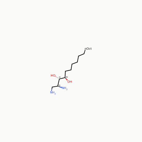 CCCCCCCCCCCCCC[C@@H](O)[C@@H](O)[C@@H](N)CN